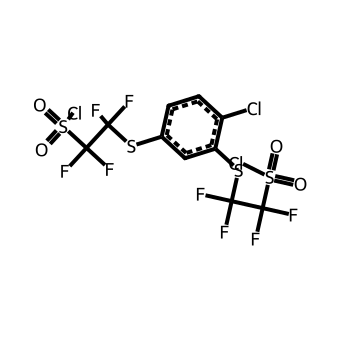 O=S(=O)(Cl)C(F)(F)C(F)(F)Sc1ccc(Cl)c(SC(F)(F)C(F)(F)S(=O)(=O)Cl)c1